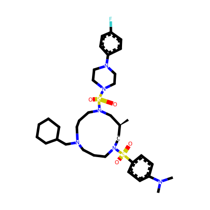 C[C@H]1CN(S(=O)(=O)c2ccc(N(C)C)cc2)CCCN(CC2CCCCC2)CCCN(S(=O)(=O)N2CCN(c3ccc(F)cc3)CC2)C1